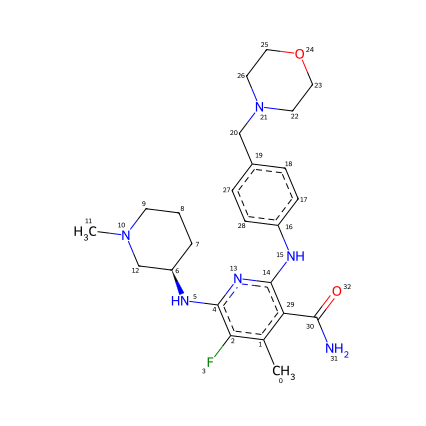 Cc1c(F)c(N[C@@H]2CCCN(C)C2)nc(Nc2ccc(CN3CCOCC3)cc2)c1C(N)=O